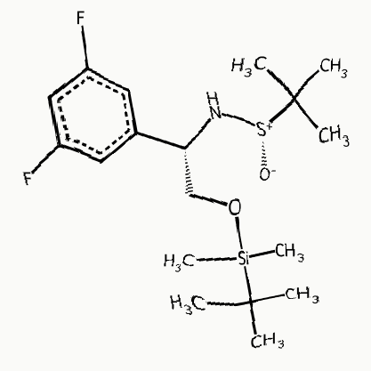 CC(C)(C)[S@+]([O-])N[C@H](CO[Si](C)(C)C(C)(C)C)c1cc(F)cc(F)c1